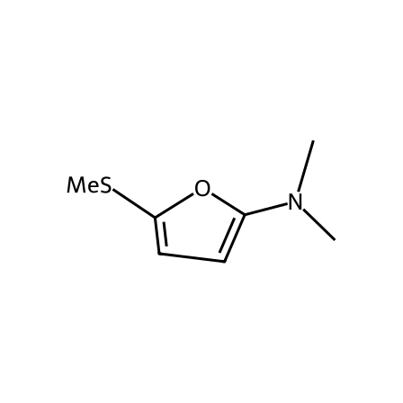 CSc1ccc(N(C)C)o1